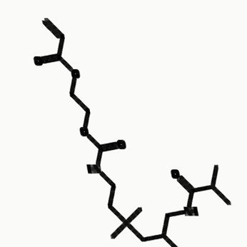 C=CC(=O)OCCOC(=O)NCCC(C)(C)CC(C)CNC(=O)C(C)C